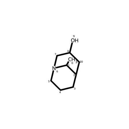 CC1C2CCCN1CC(O)C2